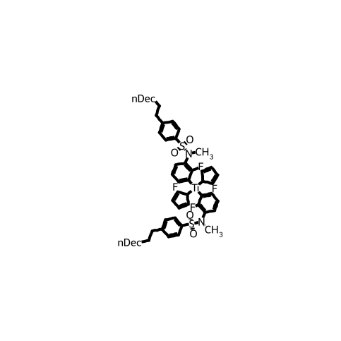 CCCCCCCCCCCCc1ccc(S(=O)(=O)N(C)c2ccc(F)[c]([Ti]([c]3c(F)ccc(N(C)S(=O)(=O)c4ccc(CCCCCCCCCCCC)cc4)c3F)([CH]3C=CC=C3)[CH]3C=CC=C3)c2F)cc1